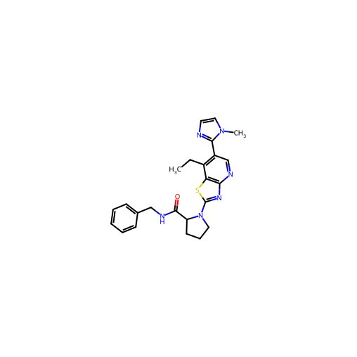 CCc1c(-c2nccn2C)cnc2nc(N3CCCC3C(=O)NCc3ccccc3)sc12